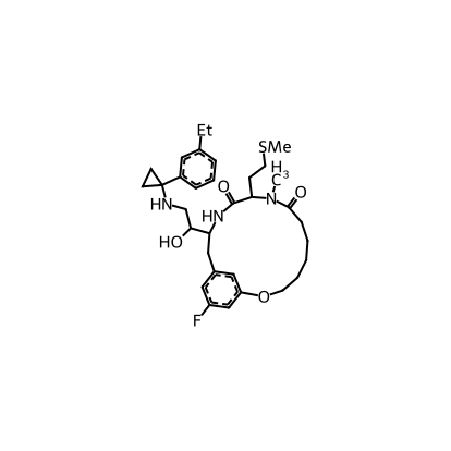 CCc1cccc(C2(NCC(O)C3Cc4cc(F)cc(c4)OCCCCCC(=O)N(C)C(CCSC)C(=O)N3)CC2)c1